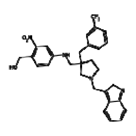 O=[N+]([O-])c1cc(NCC2(Cc3cccc(C(F)(F)F)c3)CCN(CC3=c4ccccc4=NC3)C2)ccc1CO